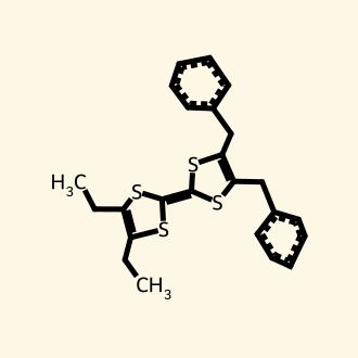 CCC1=C(CC)SC(=C2SC(Cc3ccccc3)=C(Cc3ccccc3)S2)S1